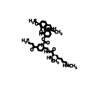 CNCCCCC[C@H](NC)C(=O)NCC1CCC(C(=O)CCP)CN1C(=O)OC1=CC[C@@]2(O)[C@H]3Cc4ccc(OC)c5c4[C@@]2(CCN3C)[C@H]1O5